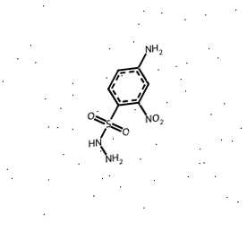 NNS(=O)(=O)c1ccc(N)cc1[N+](=O)[O-]